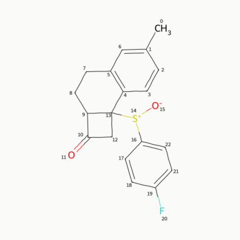 Cc1ccc2c(c1)CCC1C(=O)CC21[S+]([O-])c1ccc(F)cc1